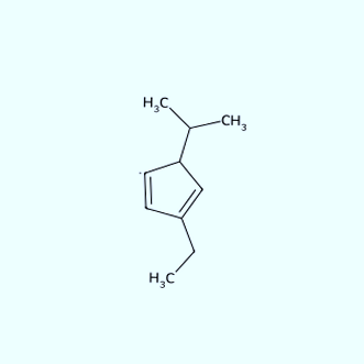 CCC1=CC(C(C)C)[C]=C1